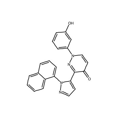 O=c1ccn(-c2cccc(O)c2)nc1-c1ccnn1-c1cccc2ccccc12